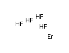 F.F.F.F.[Er]